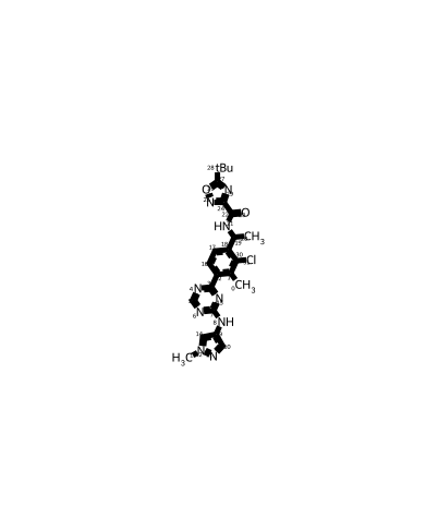 Cc1c(-c2ncnc(Nc3cnn(C)c3)n2)ccc(C(C)NC(=O)c2noc(C(C)(C)C)n2)c1Cl